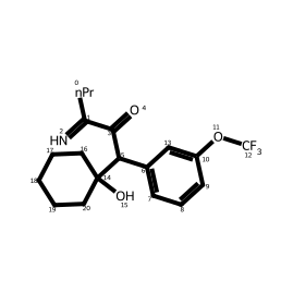 C[CH]CC(=N)C(=O)C(c1cccc(OC(F)(F)F)c1)C1(O)CCCCC1